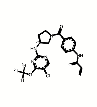 [2H]C([2H])([2H])Oc1nc(N[C@H]2CCN(C(=O)c3ccc(NC(=O)C=C)cc3)C2)ncc1Cl